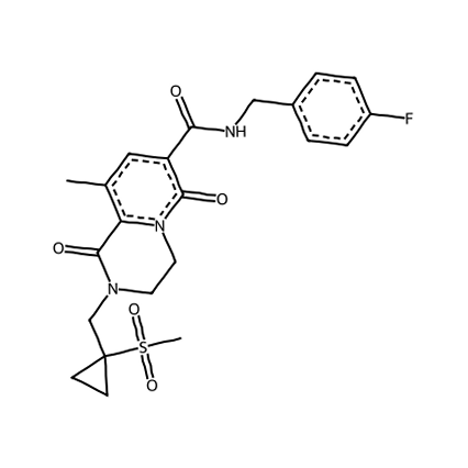 Cc1cc(C(=O)NCc2ccc(F)cc2)c(=O)n2c1C(=O)N(CC1(S(C)(=O)=O)CC1)CC2